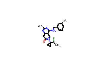 Cc1nc(NCc2cccc(C(F)(F)F)c2)c2cn(C3(C(C)F)CC3)c(=O)cc2n1